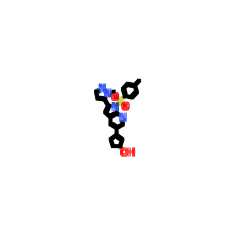 Cc1ccc(S(=O)(=O)n2c(-c3ccnn3C)cc3cc(C4=CC(O)CC4)cnc32)cc1